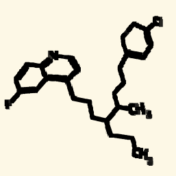 CCCC(CCCc1ccnc2ccc(F)cc12)C(C)CCCC1=CC=C(Cl)CC1